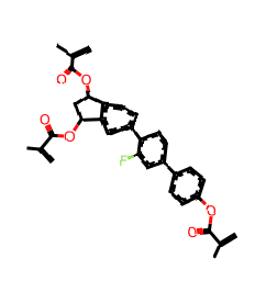 C=C(C)C(=O)Oc1ccc(-c2ccc(-c3ccc4c(c3)C(OC(=O)C(=C)C)CC4OC(=O)C(=C)C)c(F)c2)cc1